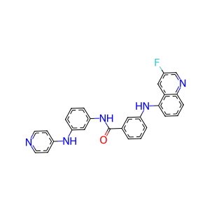 O=C(Nc1cccc(Nc2ccncc2)c1)c1cccc(Nc2cccc3ncc(F)cc23)c1